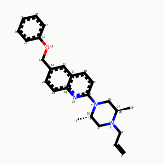 C=CCN1C[C@H](C)N(c2ccc3cc(COc4ccccc4)ccc3n2)C[C@H]1C